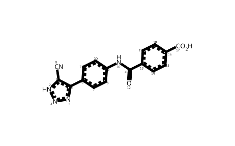 N#Cc1[nH]nnc1-c1ccc(NC(=O)c2ccc(C(=O)O)cc2)cc1